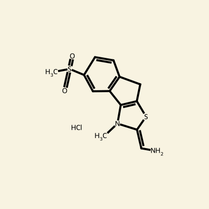 CN1C2=C(Cc3ccc(S(C)(=O)=O)cc32)S/C1=C\N.Cl